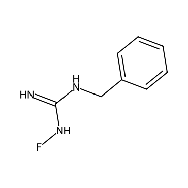 N=C(NF)NCc1ccccc1